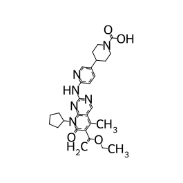 C=C(OCC)c1c(C)c2cnc(Nc3ccc(C4CCN(C(=O)O)CC4)cn3)nc2n(C2CCCC2)c1=O